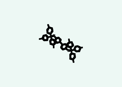 Cc1ccc(P(=Nc2ccc(-c3ccc(N=P(c4ccc(C)cc4)(c4ccc(C)cc4)c4ccc(C)cc4)cc3)cc2)(c2ccc(C)cc2)c2ccc(C)cc2)cc1